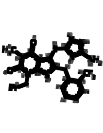 CC(C)Cn1c(=O)n(C)c(=O)c2c(Sc3nnc(N)s3)c(Cc3ccccc3C(F)(F)F)sc21